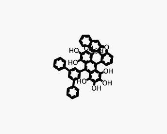 Oc1c(O)c(O)c2c(-c3cccc4oc5cc6ccccc6cc5c34)c3c(O)c(O)c(O)c(O)c3c(-c3cc(-c4ccccc4)cc(-c4ccccc4)c3)c2c1O